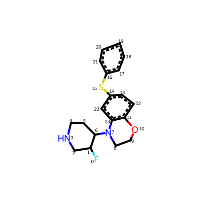 FC1CNCCC1N1CCOc2ccc(Sc3ccccc3)cc21